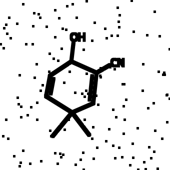 CC1(C)C=CC(O)C(C#N)=C1